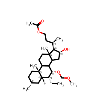 CC[C@H]1[C@@H](OCOC)C2C3C[C@H](O)[C@H]([C@H](C)CCOC(C)=O)[C@@]3(C)CCC2[C@@]2(C)CC[C@@H](C)C[C@@H]12